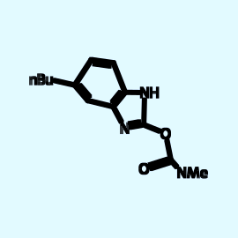 CCCCc1ccc2[nH]c(OC(=O)NC)nc2c1